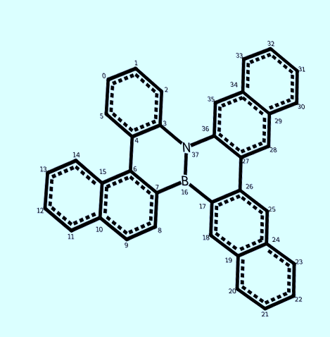 c1ccc2c(c1)-c1c(ccc3ccccc13)B1c3cc4ccccc4cc3-c3cc4ccccc4cc3N12